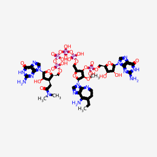 CCC1=C(N)c2ncn([C@@H]3OC(COP(=O)(O)OP(=O)(O)OP(=O)(O)OP(=O)(O)OC[C@H]4O[C@@H](n5cnc6c(=O)[nH]c(N)nc65)[C@H](O)[C@@H]4CC(=O)N(C)C)[C@@H](OP(=O)(O)OC[C@H]4O[C@@H](n5cnc6c(=O)[nH]c(N)nc65)[C@H](O)[C@@H]4O)[C@H]3OC)c2N=CC1